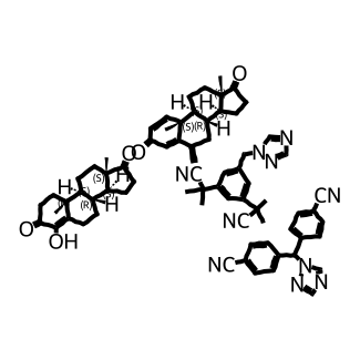 C=C1C[C@@H]2[C@H](CC[C@]3(C)C(=O)CC[C@@H]23)[C@@]2(C)C=CC(=O)C=C12.CC(C)(C#N)c1cc(Cn2cncn2)cc(C(C)(C)C#N)c1.C[C@]12CCC(=O)C(O)=C1CC[C@@H]1[C@@H]2CC[C@]2(C)C(=O)CC[C@@H]12.N#Cc1ccc(C(c2ccc(C#N)cc2)n2cncn2)cc1